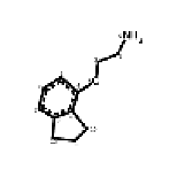 NCCOc1cccc2c1CCC2